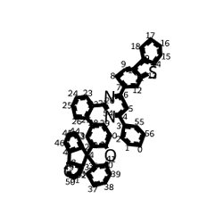 c1ccc(-c2cc(-c3ccc4c(c3)sc3ccccc34)nc(-c3ccccc3-c3ccc4c(c3)C3(c5ccccc5O4)c4ccccc4-c4ccccc43)n2)cc1